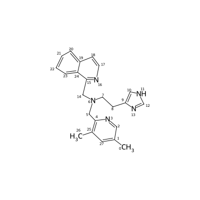 Cc1cnc(CN(CCc2c[nH]cn2)Cc2nccc3ccccc23)c(C)c1